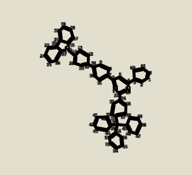 c1ccc(-c2cc(-c3ccc(-c4ccc(-n5c6ccccc6c6ccccc65)cc4)cc3)nc(-c3ccc(C(c4ccccc4)(c4ccccc4)c4ccccc4)cc3)n2)cc1